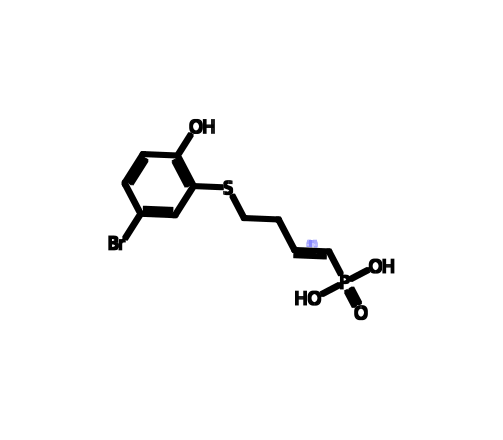 O=P(O)(O)/C=C/CCSc1cc(Br)ccc1O